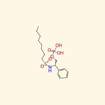 CCCCCCCCS(=O)(=O)N[C@@H](COP(=O)(O)O)c1ccccc1